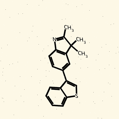 CC1=Nc2ccc(-c3csc4ccccc34)cc2C1(C)C